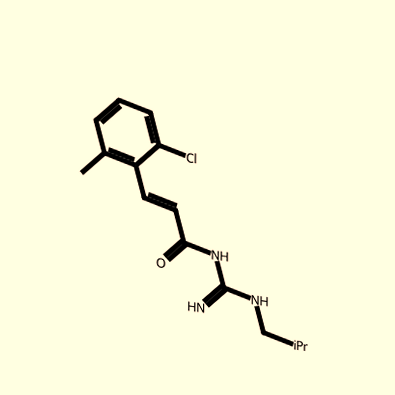 Cc1cccc(Cl)c1/C=C/C(=O)NC(=N)NCC(C)C